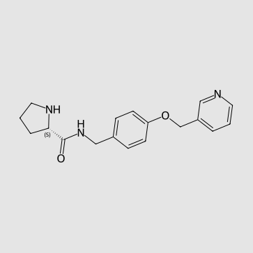 O=C(NCc1ccc(OCc2cccnc2)cc1)[C@@H]1CCCN1